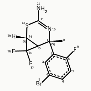 C[C@]1(c2cc(Br)ccc2F)N=C(N)S[C@@H]2C1C2(F)F